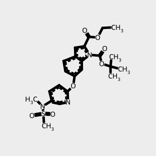 CCOC(=O)c1cc2ccc(Oc3ccc(N(C)S(C)(=O)=O)cn3)cc2n1C(=O)OC(C)(C)C